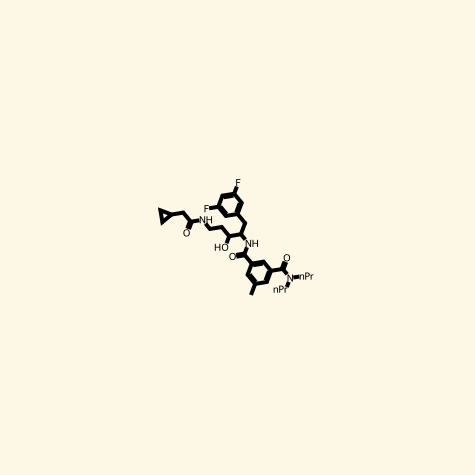 CCCN(CCC)C(=O)c1cc(C)cc(C(=O)NC(Cc2cc(F)cc(F)c2)C(O)CCNC(=O)CC2CC2)c1